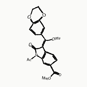 COC(=O)c1ccc2c(c1)N(C(C)=O)C(=O)/C2=C(/OC)c1ccc2c(c1)OCCO2